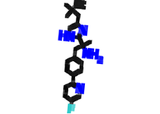 CCC(C)(C)Cc1c[nH]c(C(C)(N)Cc2ccc(-c3ccc(F)cn3)cc2)n1